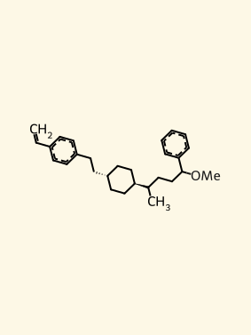 C=Cc1ccc(CC[C@H]2CC[C@H](C(C)CCC(OC)c3ccccc3)CC2)cc1